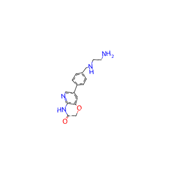 NCCNCc1ccc(-c2cnc3c(c2)OCC(=O)N3)cc1